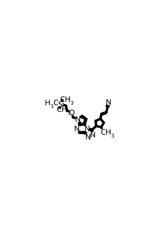 CC1CC(/C=C/C#N)CC1c1nnc2cnc3c(ccn3COCC[Si](C)(C)C)n12